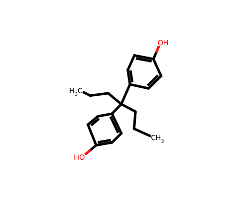 CCCC(CCC)(c1ccc(O)cc1)c1ccc(O)cc1